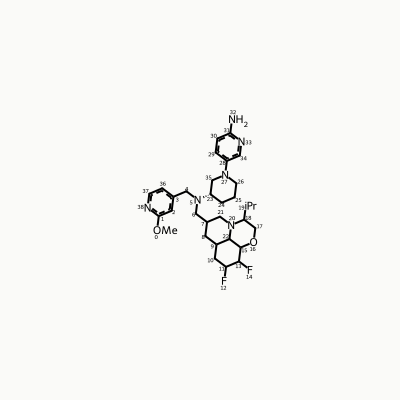 COc1cc(CN(CC2CC3CC(F)C(F)C4OCC(C(C)C)N(C2)C34)[C@H]2CCCN(c3ccc(N)nc3)C2)ccn1